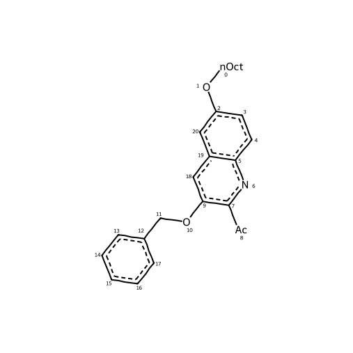 CCCCCCCCOc1ccc2nc(C(C)=O)c(OCc3ccccc3)cc2c1